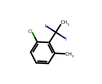 Cc1cccc(Cl)c1C(C)(I)I